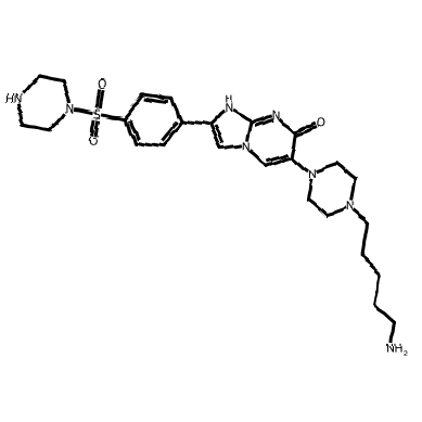 NCCCCCN1CCN(c2cn3cc(-c4ccc(S(=O)(=O)N5CCNCC5)cc4)[nH]c3nc2=O)CC1